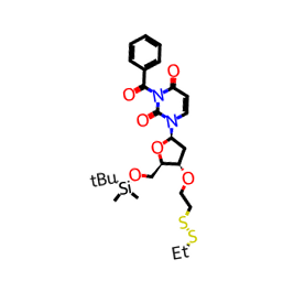 CCSSCCO[C@H]1C[C@H](n2ccc(=O)n(C(=O)c3ccccc3)c2=O)O[C@@H]1CO[Si](C)(C)C(C)(C)C